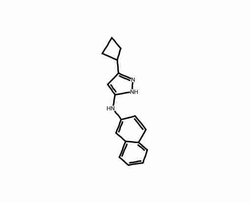 c1ccc2cc(Nc3cc(C4CCC4)n[nH]3)ccc2c1